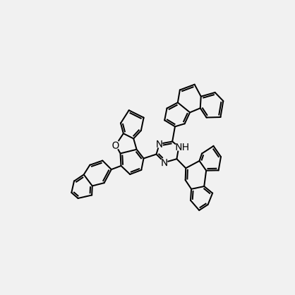 c1ccc2cc(-c3ccc(C4=NC(c5cc6ccccc6c6ccccc56)NC(c5ccc6ccc7ccccc7c6c5)=N4)c4c3oc3ccccc34)ccc2c1